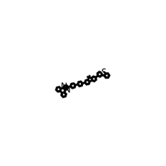 CC1(C)c2cc(-c3ccc(-c4ccc(-c5cnc6c7ccccc7c7ccccc7c6n5)cc4)cc3)ccc2-c2ccc(-c3ccc4sc5ccccc5c4c3)cc21